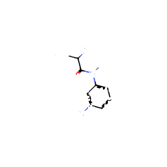 CCCC(N)C(=O)N(CCC)c1cccc(N)c1